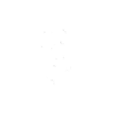 CC1CNCCN1C1CCn2c(=O)ncc3cccc(c32)S1